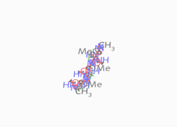 CCC(F)c1c(Nc2cccc(-c3ncn(C)n3)c2OC)cc(NC(=O)C2CC2)nc1Cn1cnc(-c2cccc(Nc3cc(NC(=O)C4CC4)nc(Cn4cnc(-c5cccc(Nc6cc(NC(=O)C7CC7)ncc6C(C)F)c5OC)n4)c3CF)c2OC)n1